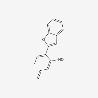 C=C/C=C(N=O)\C(=C/C)c1cc2ccccc2o1